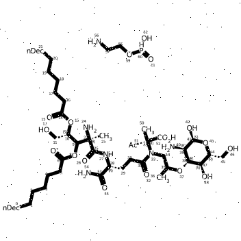 CCCCCCCCCCCCCCCC(=O)OC([C@H](CO)OC(=O)CCCCCCCCCCCCCCC)[C@@](C)(N)C(=O)N[C@H](CCC(=O)N(CC(C)O[C@@H]1[C@@H](N)[C@@H](O)O[C@H](CO)[C@H]1O)[C@](C)(C(C)=O)C(=O)O)C(N)=O.NCCO[PH](=O)O